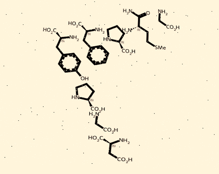 CSCC[C@H](N)C(N)=O.NCC(=O)O.NCC(=O)O.N[C@@H](CC(=O)O)C(=O)O.N[C@@H](Cc1ccc(O)cc1)C(=O)O.N[C@@H](Cc1ccccc1)C(=O)O.O=C(O)[C@@H]1CCCN1.O=C(O)[C@@H]1CCCN1